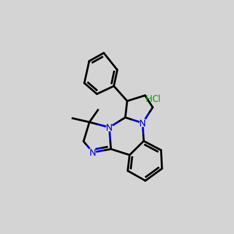 CC1(C)CN=C2c3ccccc3N3CCC(c4ccccc4)C3N21.Cl